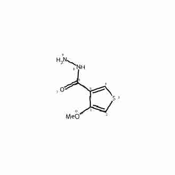 COc1cscc1C(=O)NN